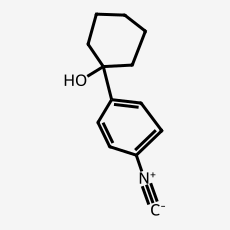 [C-]#[N+]c1ccc(C2(O)CCCCC2)cc1